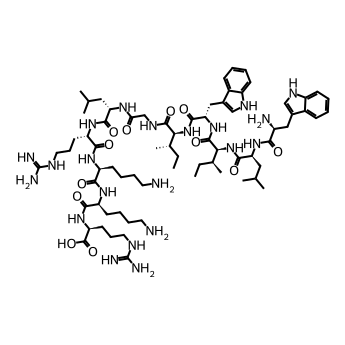 CC[C@H](C)[C@H](NC(=O)[C@H](Cc1c[nH]c2ccccc12)NC(=O)[C@@H](NC(=O)[C@H](CC(C)C)NC(=O)[C@@H](N)Cc1c[nH]c2ccccc12)[C@@H](C)CC)C(=O)NCC(=O)N[C@@H](CC(C)C)C(=O)N[C@@H](CCCNC(=N)N)C(=O)N[C@@H](CCCCN)C(=O)N[C@@H](CCCCN)C(=O)N[C@@H](CCCNC(=N)N)C(=O)O